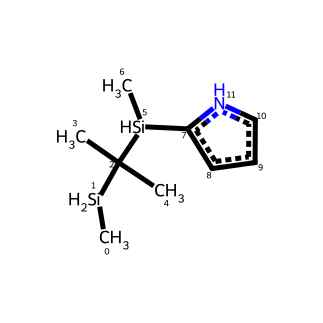 C[SiH2]C(C)(C)[SiH](C)c1ccc[nH]1